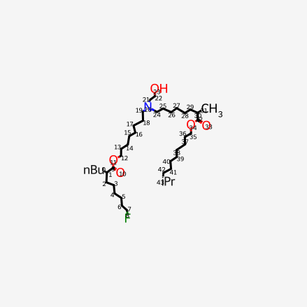 CCCCC(CCCCCCF)C(=O)OCCCCCCCCN(CCO)CCCCCCC(C)C(=O)OCCCCCCCCC(C)C